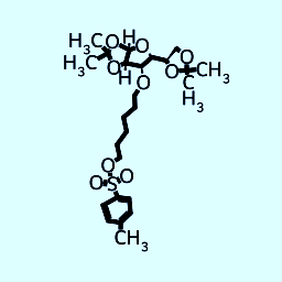 Cc1ccc(S(=O)(=O)OCCCCCCO[C@@H]2[C@H]3OC(C)(C)O[C@H]3O[C@@H]2[C@H]2COC(C)(C)O2)cc1